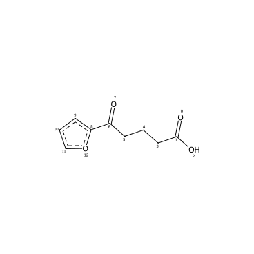 O=C(O)CCCC(=O)c1ccco1